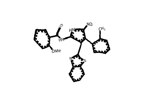 COc1ccccc1C(=O)Nc1[nH]c(N=O)c(-c2ccccc2C)c1-c1nc2ccccc2s1